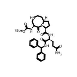 CC(C)(C)OC(=O)N[C@H]1CNCC[C@H]2CC[C@@H](C(=O)N[C@@H](CCC(N)=O)C(=O)NC(c3ccccc3)c3ccccc3)N2C1=O